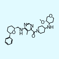 CO[C@@H]1COCCC1NC1CCN(C(=O)c2ncnc(NC[C@@H]3CCC[C@H](c4ccccc4)O3)c2C)CC1